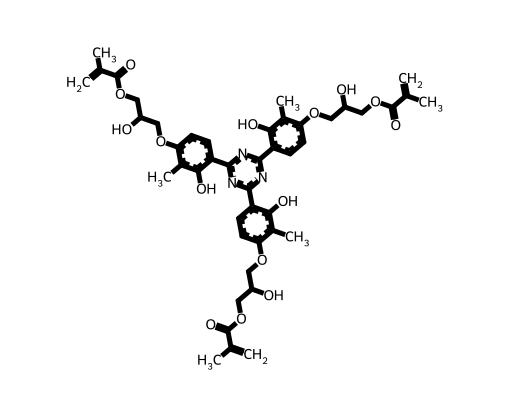 C=C(C)C(=O)OCC(O)COc1ccc(-c2nc(-c3ccc(OCC(O)COC(=O)C(=C)C)c(C)c3O)nc(-c3ccc(OCC(O)COC(=O)C(=C)C)c(C)c3O)n2)c(O)c1C